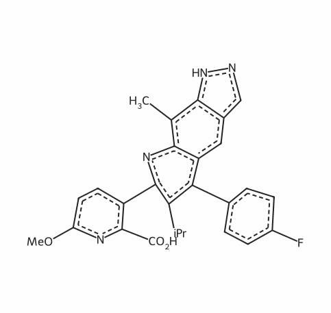 COc1ccc(-c2nc3c(C)c4[nH]ncc4cc3c(-c3ccc(F)cc3)c2C(C)C)c(C(=O)O)n1